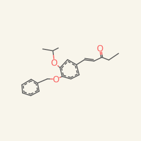 CCC(=O)C=Cc1ccc(OCc2ccccc2)c(OC(C)C)c1